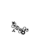 COC(=O)c1cccc2oc(N3CCN(C(=O)OC(C)(C)C)[C@@H](CC(C)C)C3)nc12